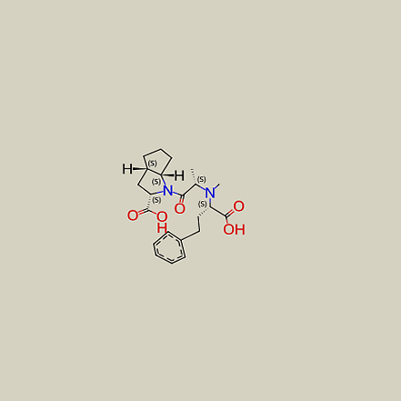 C[C@@H](C(=O)N1[C@H](C(=O)O)C[C@@H]2CCC[C@@H]21)N(C)[C@@H](CCc1ccccc1)C(=O)O